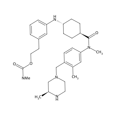 CNC(=O)OCCc1cccc(N[C@H]2CC[C@H](C(=O)N(C)c3ccc(CN4CCN[C@@H](C)C4)c(C)c3)CC2)c1